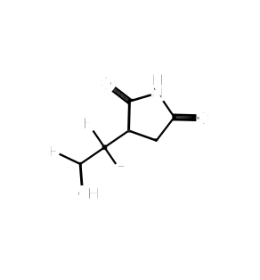 CC(F)C(F)(F)C1CC(=O)NC1=O